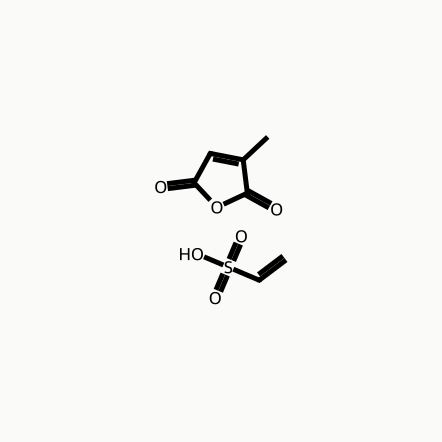 C=CS(=O)(=O)O.CC1=CC(=O)OC1=O